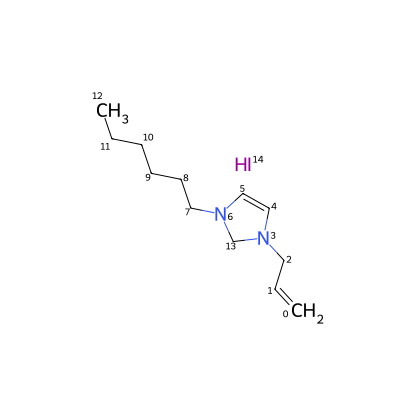 C=CCN1C=CN(CCCCCC)C1.I